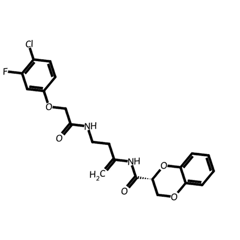 C=C(CCNC(=O)COc1ccc(Cl)c(F)c1)NC(=O)[C@H]1COc2ccccc2O1